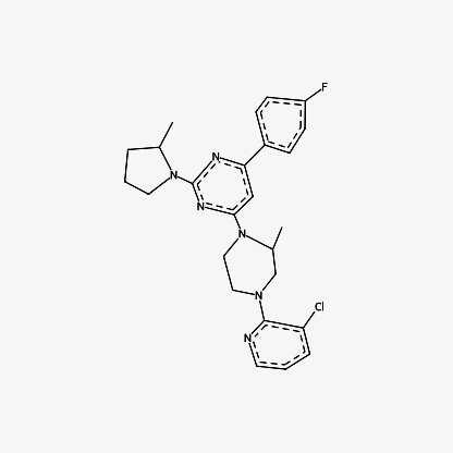 CC1CN(c2ncccc2Cl)CCN1c1cc(-c2ccc(F)cc2)nc(N2CCCC2C)n1